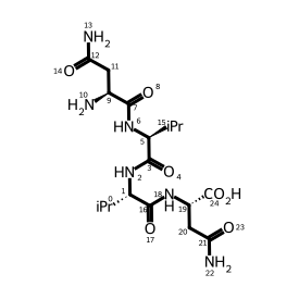 CC(C)[C@H](NC(=O)[C@@H](NC(=O)[C@@H](N)CC(N)=O)C(C)C)C(=O)N[C@@H](CC(N)=O)C(=O)O